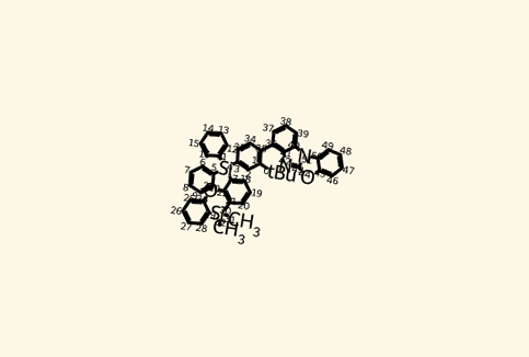 CC(C)(C)c1cc([Si](c2ccccc2)(c2ccccc2)c2cccc3c2Oc2ccccc2[Si]3(C)C)ccc1-c1cccc2c1nc1oc3ccccc3n12